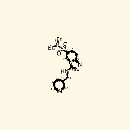 CCN(CC)S(=O)(=O)c1ccc2nnc(NCc3cccnc3)n2c1